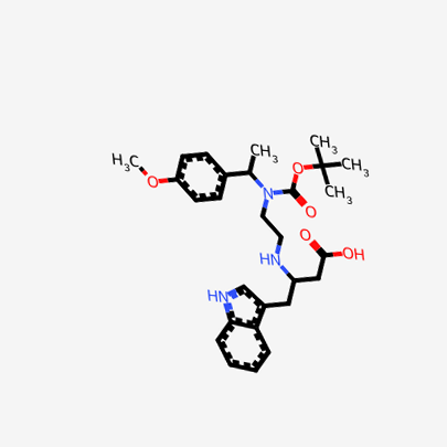 COc1ccc(C(C)N(CCNC(CC(=O)O)Cc2c[nH]c3ccccc23)C(=O)OC(C)(C)C)cc1